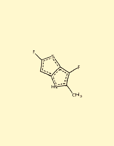 Cc1[nH]c2cc(F)sc2c1F